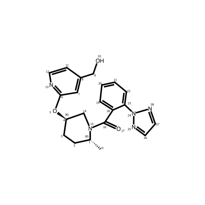 C[C@@H]1CC[C@@H](Oc2cc(CO)ccn2)CN1C(=O)c1ccccc1-n1nccn1